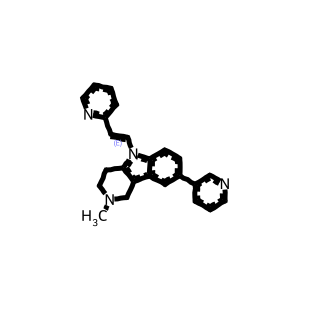 CN1CCc2c(c3cc(-c4cccnc4)ccc3n2/C=C/c2ccccn2)C1